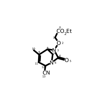 CCOC(=O)CON1C(=O)N2CC1C(C)=CC2C#N